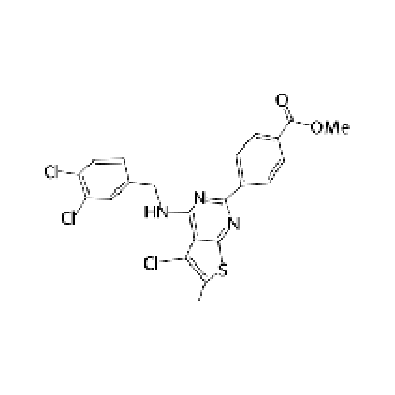 COC(=O)c1ccc(-c2nc(NCc3ccc(Cl)c(Cl)c3)c3c(Cl)c(C)sc3n2)cc1